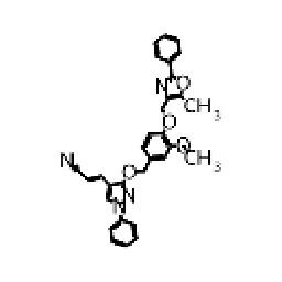 COc1cc(COc2nn(-c3ccccc3)cc2C=CC#N)ccc1OCc1nc(-c2ccccc2)oc1C